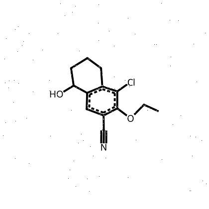 CCOc1c(C#N)cc2c(c1Cl)CCCC2O